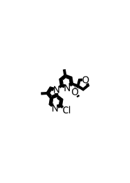 CO[C@@]1(c2cc(C)cc(-n3cc(C)c4cnc(Cl)cc43)n2)CCOC1